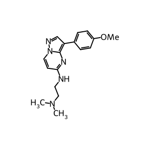 COc1ccc(-c2cnn3ccc(NCCN(C)C)nc23)cc1